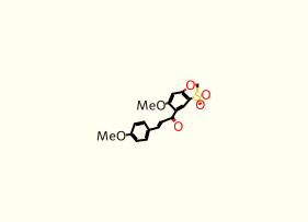 COc1ccc(C=CC(=O)c2cc3c(cc2OC)OCS3(=O)=O)cc1